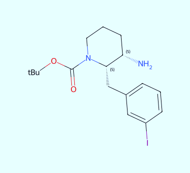 CC(C)(C)OC(=O)N1CCC[C@H](N)[C@@H]1Cc1cccc(I)c1